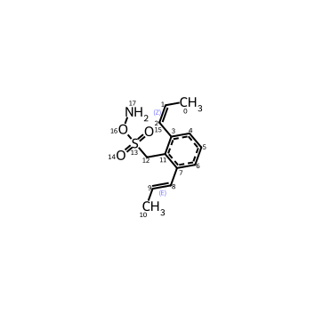 C/C=C\c1cccc(/C=C/C)c1CS(=O)(=O)ON